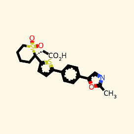 Cc1ncc(-c2ccc(-c3ccc([C@@]4(CC(=O)O)CCCCS4(=O)=O)s3)cc2)o1